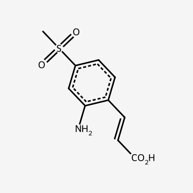 CS(=O)(=O)c1ccc(C=CC(=O)O)c(N)c1